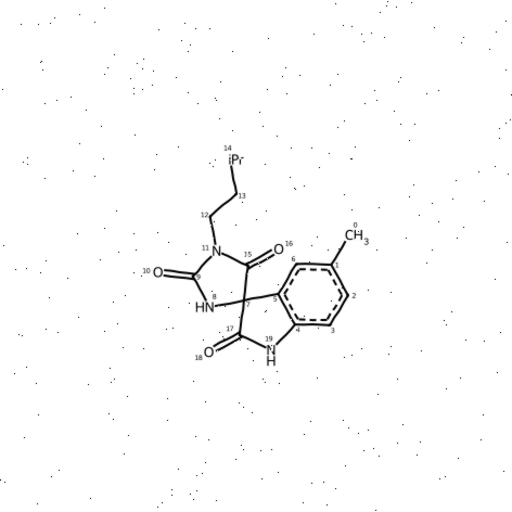 Cc1ccc2c(c1)C1(NC(=O)N(CCC(C)C)C1=O)C(=O)N2